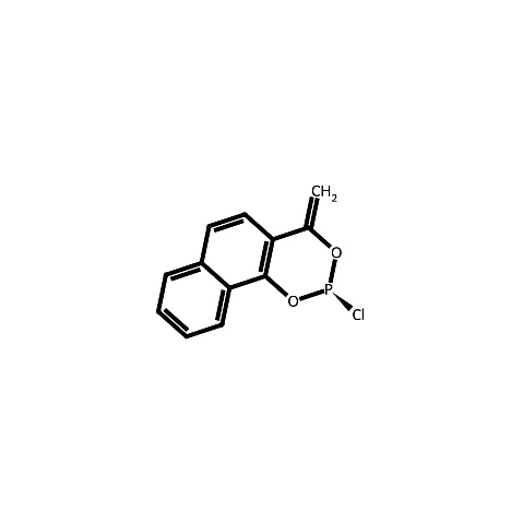 C=C1O[P@@](Cl)Oc2c1ccc1ccccc21